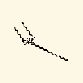 CCCCCCCCCCCCCCCCCCP(=O)(O[Si](C)(C)CCCCCCCC)O[Si](C)(C)CCCCCCCC